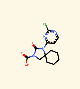 O=C(O)N1CC2(CCCCC2)N(c2ccnc(Cl)n2)C1=O